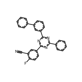 N#Cc1cc(-c2nc(-c3ccccc3)nc(-c3cccc(-c4ccccc4)c3)n2)ccc1F